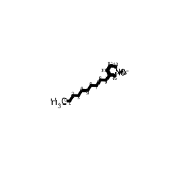 CCCCCCCCCCc1ccc[n+]([O-])c1